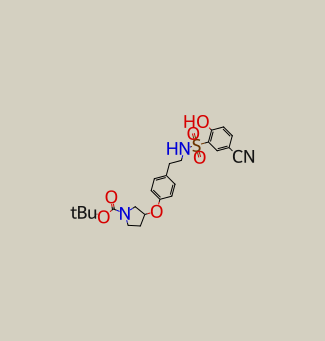 CC(C)(C)OC(=O)N1CCC(Oc2ccc(CCNS(=O)(=O)c3cc(C#N)ccc3O)cc2)C1